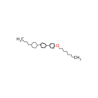 CCCCCCCCOc1ccc(-c2ccc(C3CCC(CCCC)CC3)cc2)cc1